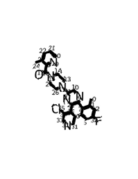 Cc1cc(F)ccc1-c1ncc(N2CCN(C(=O)c3ncccc3C)CC2)nc1-c1ccncc1Cl